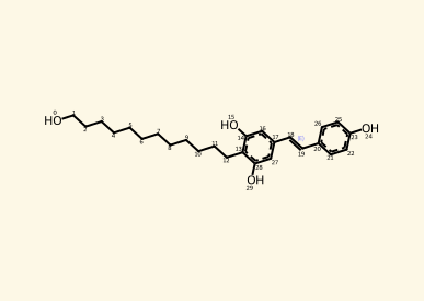 OCCCCCCCCCCCCc1c(O)cc(/C=C/c2ccc(O)cc2)cc1O